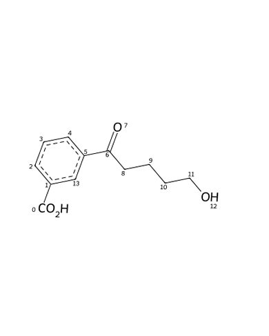 O=C(O)c1cccc(C(=O)CCCCO)c1